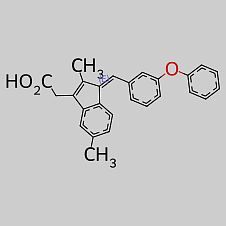 CC1=C(CC(=O)O)c2cc(C)ccc2/C1=C\c1cccc(Oc2ccccc2)c1